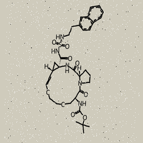 CC(C)(C)OC(=O)N[C@H]1CCCCC/C=C\[C@@H]2C[C@@]2(C(=O)NS(=O)(=O)NCCc2ccc3ccccc3c2)NC(=O)[C@@H]2CCCN2C1=O